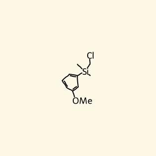 COc1cccc([Si](C)(C)CCl)c1